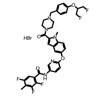 Br.Cc1c(F)cc(C(=O)Nc2ccc(Oc3ccc4c(c3)cc(C(=O)N3CCN(Cc5ccc(OC(CF)CF)cc5)CC3)n4C)nc2)c(F)c1F